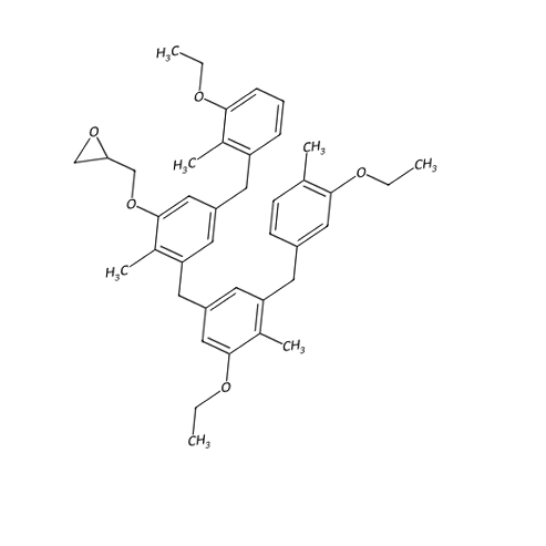 CCOc1cc(Cc2cc(Cc3cc(Cc4cccc(OCC)c4C)cc(OCC4CO4)c3C)cc(OCC)c2C)ccc1C